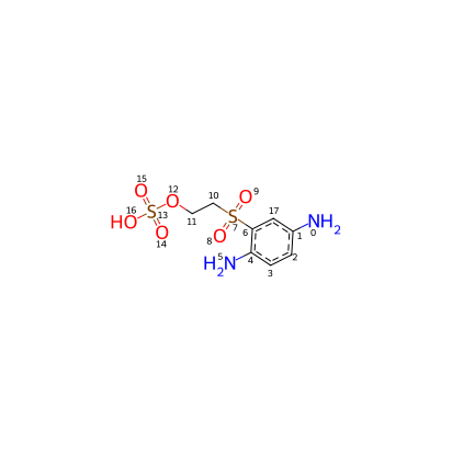 Nc1ccc(N)c(S(=O)(=O)CCOS(=O)(=O)O)c1